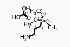 CO[Si](CCCN)(OC)OC.O=C(O)O